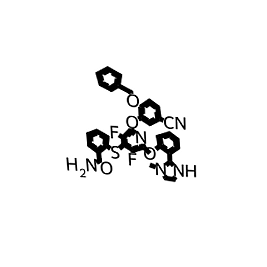 CN1CCNC1c1ccccc1Oc1nc(Oc2cc(C#N)ccc2OCc2ccccc2)c(F)c(Sc2ccccc2C(N)=O)c1F